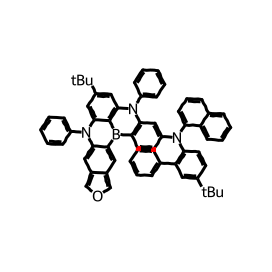 CC(C)(C)c1ccc(N(c2ccc3c(c2)N(c2ccccc2)c2cc(C(C)(C)C)cc4c2B3c2cc3cocc3cc2N4c2ccccc2)c2cccc3ccccc23)c(-c2ccccc2)c1